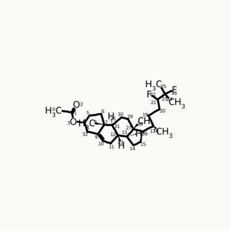 CC(=O)O[C@H]1CC[C@@]2(C)C(=CC[C@H]3[C@@H]4CC[C@H]([C@H](C)CCC(F)C(C)(C)F)[C@@]4(C)CC[C@@H]32)C1